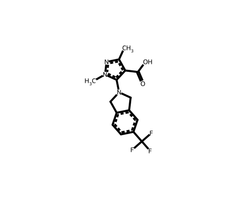 Cc1nn(C)c(N2Cc3ccc(C(F)(F)F)cc3C2)c1C(=O)O